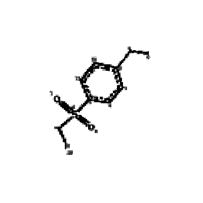 CCc1ccc(S(=O)(=O)CF)cc1